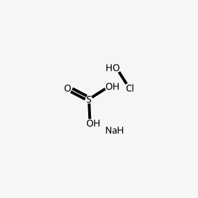 O=S(O)O.OCl.[NaH]